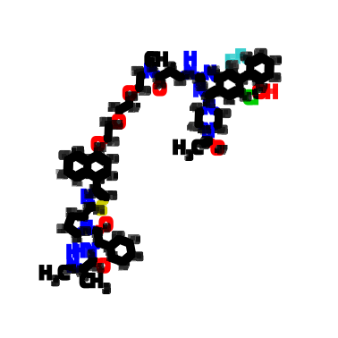 CN[C@@H](C)C(=O)NC(C(=O)N1CCC[C@H]1c1nc(-c2ccc(OCCOCCOCCN(C)C(=O)CCNc3nc(N4CCN(C(C)=O)CC4)c4cc(Cl)c(-c5c(O)cccc5F)c(F)c4n3)c3ccccc23)cs1)C1CCCCC1